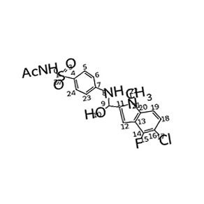 CC(=O)NS(=O)(=O)c1ccc(NC(O)c2cc3c(F)c(Cl)ccc3n2C)cc1